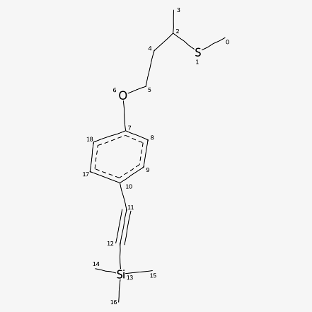 CSC(C)CCOc1ccc(C#C[Si](C)(C)C)cc1